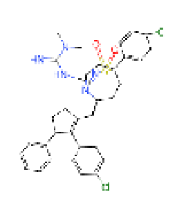 CN(C)C(=N)NC1=NS(=O)(=O)C2(C3=CCC(C)(Cl)C=C3)CC[C@@H](CC3=C(c4ccc(Cl)cc4)C(c4ccccc4)CC3)N1CC2